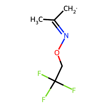 [CH2]/C(C)=N/OCC(F)(F)F